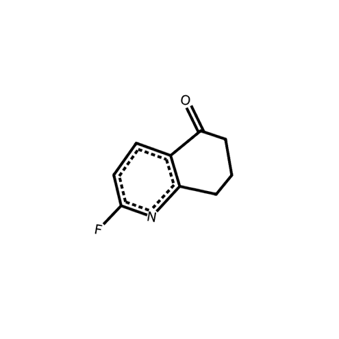 O=C1CCCc2nc(F)ccc21